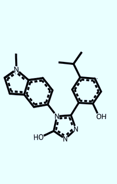 CC(C)c1[c]cc(O)c(-c2nnc(O)n2-c2ccc3c(ccn3C)c2)c1